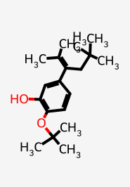 CC(C)=C(CC(C)(C)C)c1ccc(OC(C)(C)C)c(O)c1